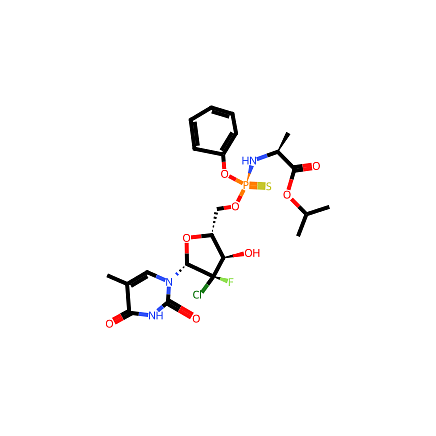 Cc1cn([C@@H]2O[C@H](CO[P@](=S)(N[C@@H](C)C(=O)OC(C)C)Oc3ccccc3)[C@@H](O)[C@]2(F)Cl)c(=O)[nH]c1=O